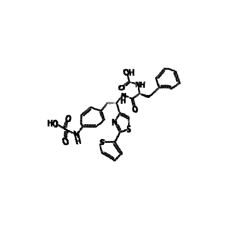 O=C(O)N[C@@H](Cc1ccccc1)C(=O)N[C@@H](Cc1ccc(NS(=O)(=O)O)cc1)c1csc(-c2cccs2)n1